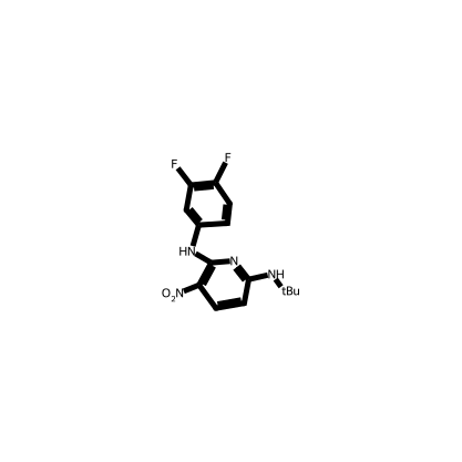 CC(C)(C)Nc1ccc([N+](=O)[O-])c(Nc2ccc(F)c(F)c2)n1